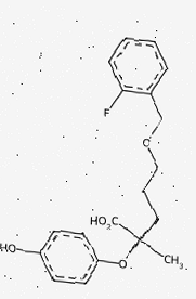 CC(CCCOCc1ccccc1F)(Oc1ccc(O)cc1)C(=O)O